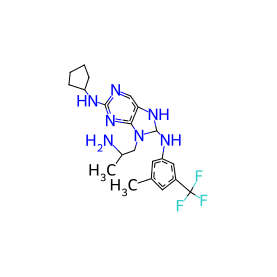 Cc1cc(NC2Nc3cnc(NC4CCCC4)nc3N2CC(C)N)cc(C(F)(F)F)c1